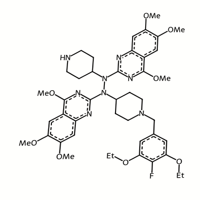 CCOc1cc(CN2CCC(N(c3nc(OC)c4cc(OC)c(OC)cc4n3)N(c3nc(OC)c4cc(OC)c(OC)cc4n3)C3CCNCC3)CC2)cc(OCC)c1F